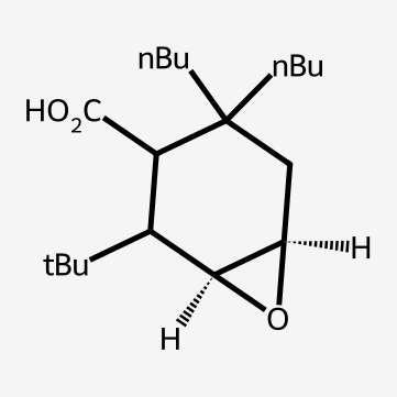 CCCCC1(CCCC)C[C@H]2O[C@H]2C(C(C)(C)C)C1C(=O)O